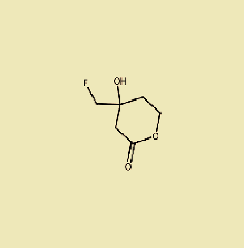 O=C1CC(O)(CF)CCO1